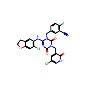 N#Cc1cc(Cn2c(Nc3cc4c(cc3Cl)OCC4)nc(=O)n(Cc3cc(Cl)c[nH]c3=O)c2=O)ccc1F